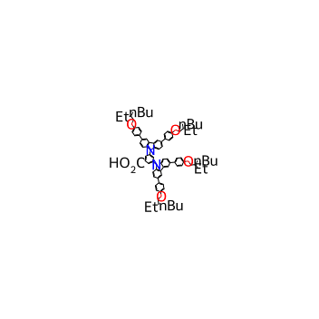 CCCCC(CC)COc1ccc(-c2ccc3c(c2)c2cc(-c4ccc(OCC(CC)CCCC)cc4)ccc2n3-c2cc(C(=O)O)cc(-n3c4ccc(-c5ccc(OCC(CC)CCCC)cc5)cc4c4cc(-c5ccc(OCC(CC)CCCC)cc5)ccc43)c2)cc1